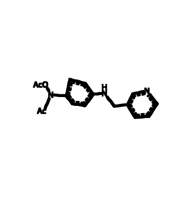 CC(=O)ON(C(C)=O)c1ccc(NCc2cccnc2)cc1